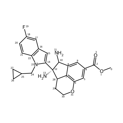 COC(=O)c1cc2c3c(c1)C(N)[C@](N)(c1cc4cc(F)ccc4n1CC1CC1)C3CCO2